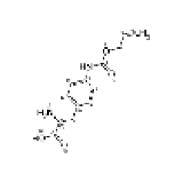 C=CCOC(=O)Nc1ccc(C[C@H](N)C(=O)O)cc1